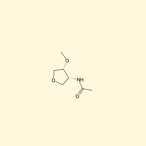 CO[C@H]1COC[C@H]1NC(C)=O